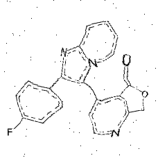 O=C1OCc2nccc(-c3c(-c4ccc(F)cc4)nc4ccccn34)c21